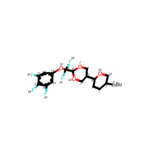 CCCCC1CCC(C2COC(C(F)(F)Oc3cc(F)c(F)c(F)c3)OC2)OC1